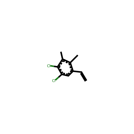 C=Cc1cc(Cl)c(Cl)c(C)c1C